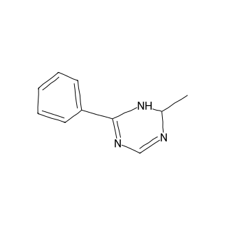 CC1N=CN=C(c2ccccc2)N1